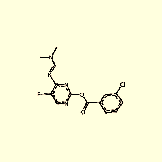 CN(C)/C=N/c1nc(OC(=O)c2cccc(Cl)c2)ncc1F